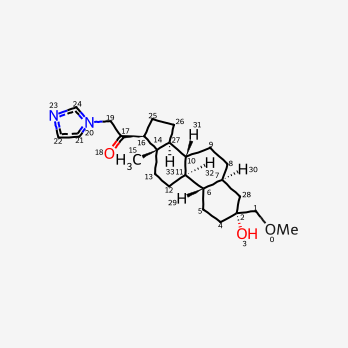 COC[C@@]1(O)CC[C@H]2[C@@H](CC[C@@H]3[C@@H]2CC[C@]2(C)[C@@H](C(=O)Cn4ccnc4)CC[C@@H]32)C1